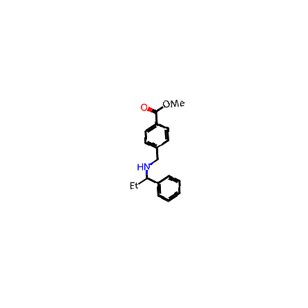 CCC(NCc1ccc(C(=O)OC)cc1)c1ccccc1